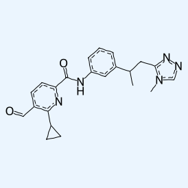 CC(Cc1nncn1C)c1cccc(NC(=O)c2ccc(C=O)c(C3CC3)n2)c1